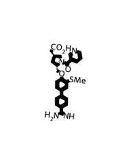 CSc1cc(-c2ccc(C(=N)N)cc2)ccc1OC[C@@H]1C[C@@H](CC(=O)O)CN1C(=O)c1cccnc1